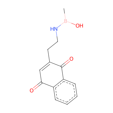 CB(O)NCCC1=CC(=O)c2ccccc2C1=O